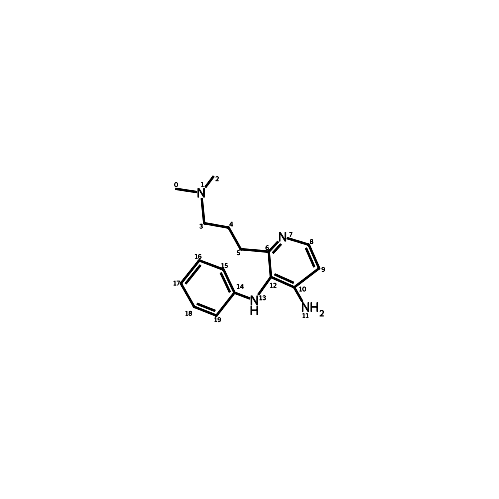 CN(C)CCCc1nccc(N)c1Nc1ccccc1